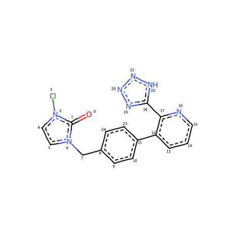 O=c1n(Cl)ccn1Cc1ccc(-c2cccnc2-c2nnn[nH]2)cc1